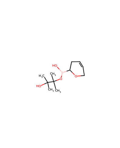 CC(C)(O)C(C)(C)OB(O)C1CC=CCO1